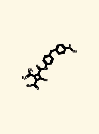 C=C(C)C1C(C(=O)Nc2ccc(Cc3ccc(NC(C)(C)C)cc3)cc2)C(C(C)=O)C1C(=O)C(C)(C)C